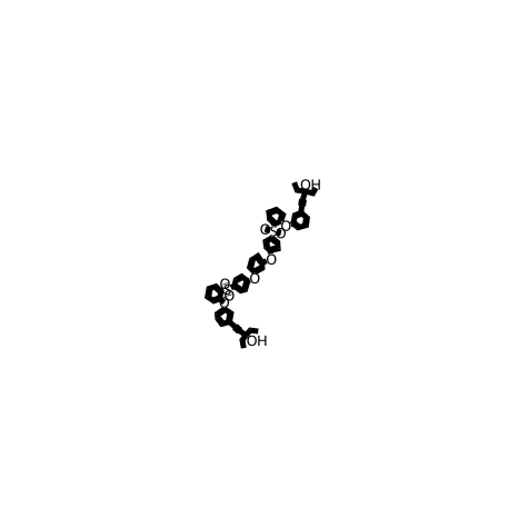 CCC(O)(C#Cc1cccc(Oc2ccccc2S(=O)(=O)c2ccc(Oc3cccc(Oc4ccc(S(=O)(=O)c5ccccc5Oc5cccc(C#CC(O)(CC)CC)c5)cc4)c3)cc2)c1)CC